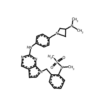 CN(C)C1CN(c2ccc(Nc3ncc4ccn(Cc5ccccc5N(C)S(C)(=O)=O)c4n3)cc2)C1